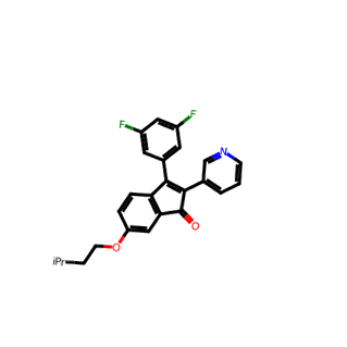 CC(C)CCOc1ccc2c(c1)C(=O)C(c1cccnc1)=C2c1cc(F)cc(F)c1